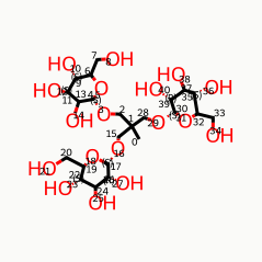 CC(CO[C@H]1OC(CO)[C@@H](O)[C@H](O)C1O)(CO[C@H]1OC(CO)[C@@H](O)C(O)[C@H]1O)CO[C@H]1OC(CO)[C@@H](O)C(O)[C@H]1O